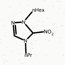 CCCCCCN1N=CN(CCC)C1[N+](=O)[O-]